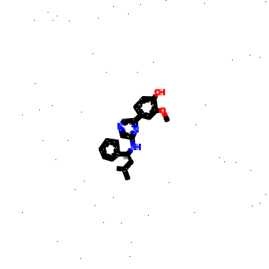 COc1cc(-c2cncc(N[C@@H](CC(C)C)c3ccccc3)n2)ccc1O